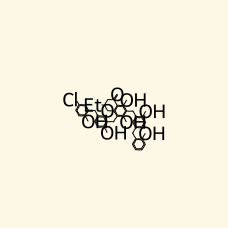 CCC1CC(=O)c2c(O)c(Cc3cc(Cc4ccccc4O)ccc3O)c(O)c(Cc3cc(Cc4cc(Cl)ccc4O)ccc3O)c2O1